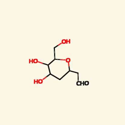 O=CCC1CC(O)C(O)C(CO)O1